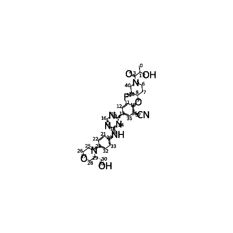 CC(O)C(=O)N1CC[C@H](Oc2ccc(-c3ncnc(Nc4ccc(N5CCOC[C@H]5CO)cc4)n3)cc2C#N)[C@H](F)C1